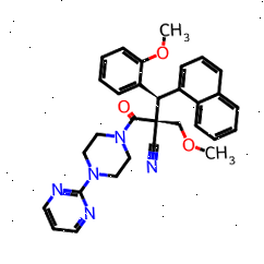 COC[C@@](C#N)(C(=O)N1CCN(c2ncccn2)CC1)[C@@H](c1ccccc1OC)c1cccc2ccccc12